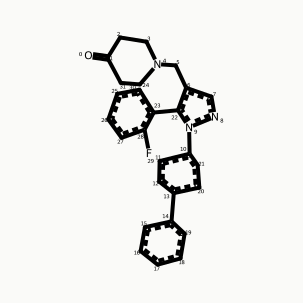 O=C1CCN(Cc2cnn(-c3ccc(-c4ccccc4)cc3)c2-c2ccccc2F)CC1